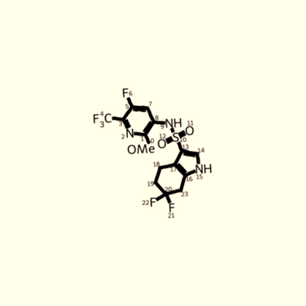 COc1nc(C(F)(F)F)c(F)cc1NS(=O)(=O)c1c[nH]c2c1CCC(F)(F)C2